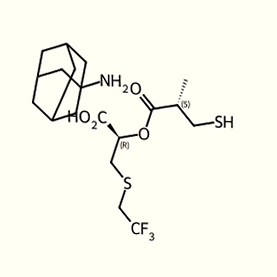 C[C@H](CS)C(=O)O[C@@H](CSCC(F)(F)F)C(=O)O.NC12CC3CC(CC(C3)C1)C2